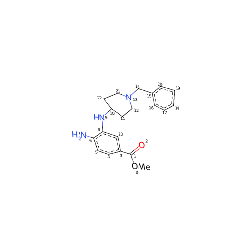 COC(=O)c1ccc(N)c(NC2CCN(Cc3ccccc3)CC2)c1